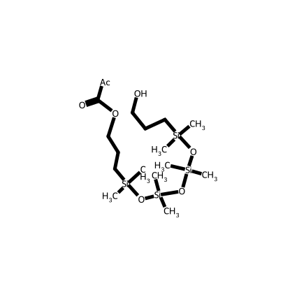 CC(=O)C(=O)OCCC[Si](C)(C)O[Si](C)(C)O[Si](C)(C)O[Si](C)(C)CCCO